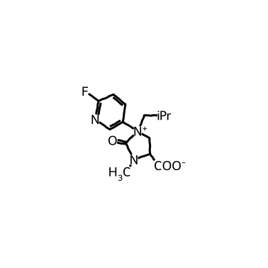 CC(C)C[N+]1(c2ccc(F)nc2)CC(C(=O)[O-])N(C)C1=O